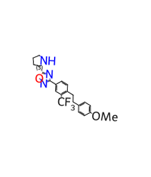 COc1ccc(CCc2ccc(-c3noc([C@@H]4CCCN4)n3)cc2C(F)(F)F)cc1